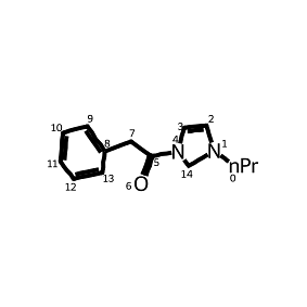 CCCN1C=CN(C(=O)Cc2ccccc2)C1